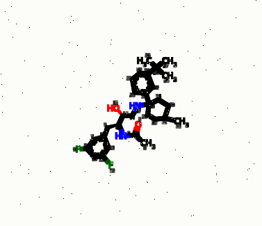 CC(=O)N[C@@H](Cc1cc(F)cc(F)c1)[C@H](O)CNC1(c2cccc(C(C)(C)C)c2)CCC(C)CC1